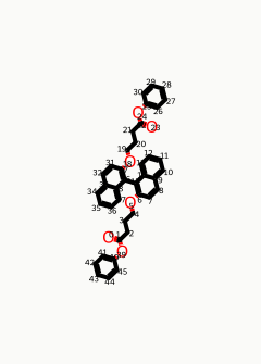 O=C(CCCOc1ccc2ccccc2c1-c1c(OCCCC(=O)Oc2ccccc2)ccc2ccccc12)Oc1ccccc1